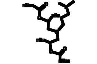 CCCCCCCCCC(=O)OC(CCCC)CN(CCCN(C)C)CC(CCCC)OC(=O)CCCCCCCCC